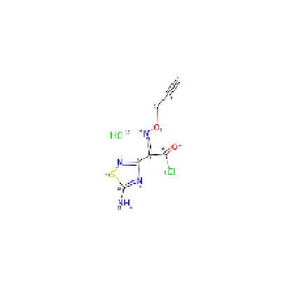 C#CCON=C(C(=O)Cl)c1nsc(N)n1.Cl